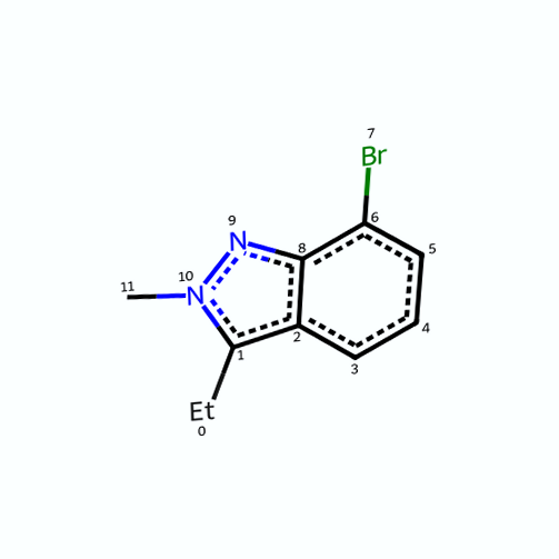 CCc1c2cccc(Br)c2nn1C